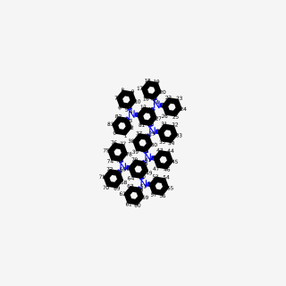 c1ccc(N(c2ccccc2)c2cc(N(c3ccccc3)c3ccccc3)cc(N(c3ccccc3)c3cccc(N(c4ccccc4)c4cc(N(c5ccccc5)c5ccccc5)cc(N(c5ccccc5)c5ccccc5)c4)c3)c2)cc1